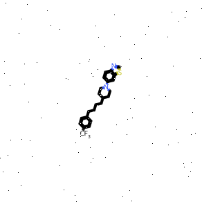 FC(F)(F)c1ccc(CCCCC2CCN(c3ccc4n[c]sc4c3)CC2)cc1